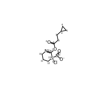 O=C(CCC1CC1)OC1=NCCCS1(Cl)[N+](=O)[O-]